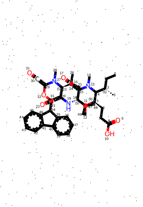 CC[C@H](C)C([C@@H](CCC(=O)O)OC)N(C)C(=C=O)[C@@H](NC(=C=O)[C@H](C(C)C)N(C)C(=C=O)OCC1c2ccccc2-c2ccccc21)C(C)C